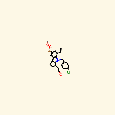 C=Cc1cc(SOOC)cc2c3c(n(Cc4ccc(Cl)cc4)c12)C(CC=O)CC3